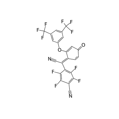 N#C/C(=C1/C=CC(=O)C=C1Oc1cc(C(F)(F)F)cc(C(F)(F)F)c1)c1c(F)c(F)c(C#N)c(F)c1F